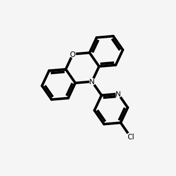 Clc1ccc(N2c3ccccc3Oc3ccccc32)nc1